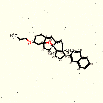 CCCO[C@@H]1CCC2=CC3=CC[C@]4(C)[C@@H](c5ccc6ccccc6c5)CC[C@H]4[C@@]34CCC2(C1)O4